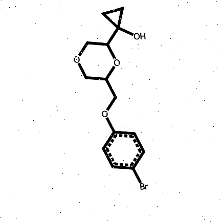 OC1(C2COCC(COc3ccc(Br)cc3)O2)CC1